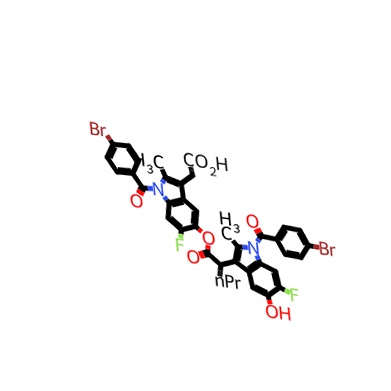 CCCC(C(=O)Oc1cc2c(CC(=O)O)c(C)n(C(=O)c3ccc(Br)cc3)c2cc1F)c1c(C)n(C(=O)c2ccc(Br)cc2)c2cc(F)c(O)cc12